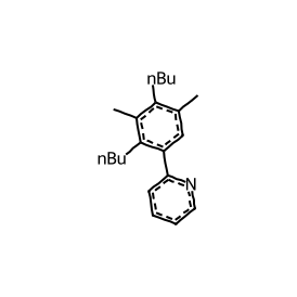 CCCCc1c(C)cc(-c2ccccn2)c(CCCC)c1C